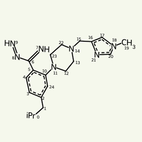 CC(C)Cc1ccc(C(=N)N=N)c(N2CCN(Cc3cn(C)cn3)CC2)c1